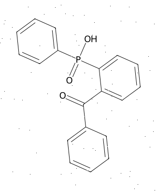 O=C(c1ccccc1)c1ccccc1P(=O)(O)c1ccccc1